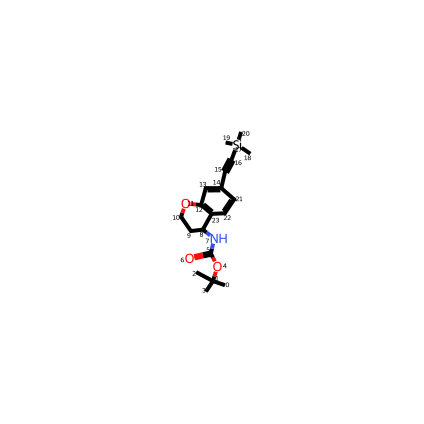 CC(C)(C)OC(=O)NC1CCOc2cc(C#C[Si](C)(C)C)ccc21